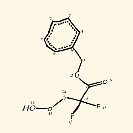 O=C(OCc1ccccc1)C(F)(F)SOO